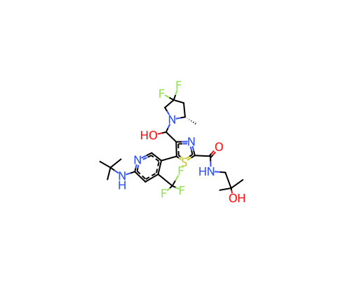 C[C@H]1CC(F)(F)CN1C(O)c1nc(C(=O)NCC(C)(C)O)sc1-c1cnc(NC(C)(C)C)cc1C(F)(F)F